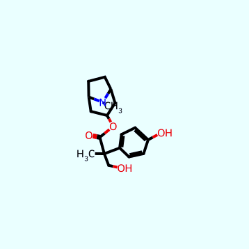 CN1C2CCC1CC(OC(=O)C(C)(CO)c1ccc(O)cc1)C2